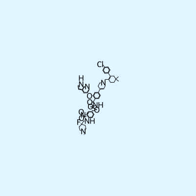 CN1CCC(F)(CNc2ccc(S(=O)(=O)NC(=O)c3ccc(C4=CCN(CC5=C(c6ccc(Cl)cc6)CC(C)(C)CC5)CC4)cc3Oc3cnc4[nH]ccc4c3)cc2[N+](=O)[O-])CC1